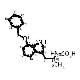 C[C@H](Cc1c[nH]c2c(OCc3ccccc3)cccc12)NC(=O)O